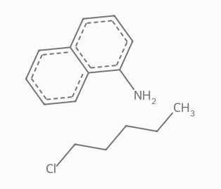 CCCCCCl.Nc1cccc2ccccc12